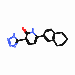 O=c1[nH]c(-c2ccc3c(c2)CCCC3)ccc1-c1nnn[nH]1